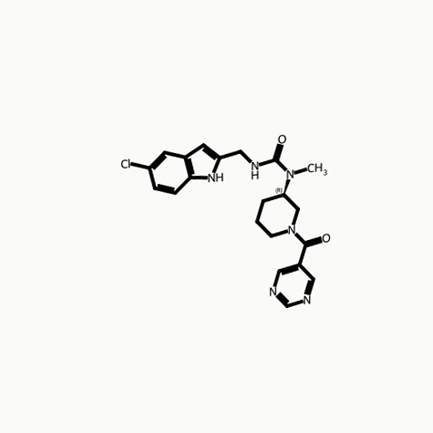 CN(C(=O)NCc1cc2cc(Cl)ccc2[nH]1)[C@@H]1CCCN(C(=O)c2cncnc2)C1